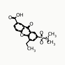 CCc1cc(S(=O)(=O)N(C)C)cc2c(=O)c3cc(C(=O)O)ccc3oc12